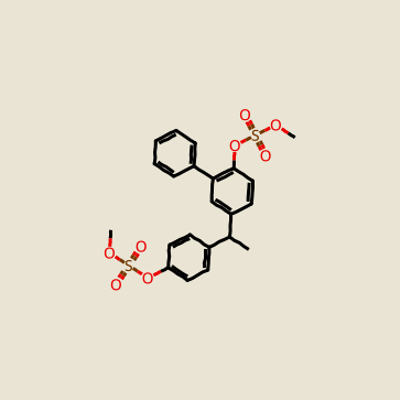 COS(=O)(=O)Oc1ccc(C(C)c2ccc(OS(=O)(=O)OC)c(-c3ccccc3)c2)cc1